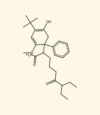 CCN(CC)C(=O)CCCN(C(N)=O)C1(c2ccccc2)CC(O)=C(C(C)(C)C)C=C1OC